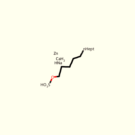 CCCCCCCCCCCCOS(=O)(=O)O.[CaH2].[NaH].[Zn]